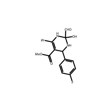 COC(=O)C1=C(C(C)C)NC(O)(C=O)NC1c1ccc(F)cc1